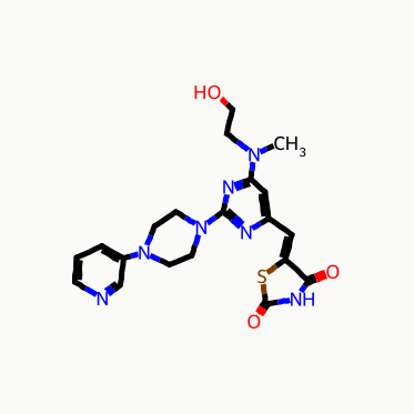 CN(CCO)c1cc(/C=C2\SC(=O)NC2=O)nc(N2CCN(c3cccnc3)CC2)n1